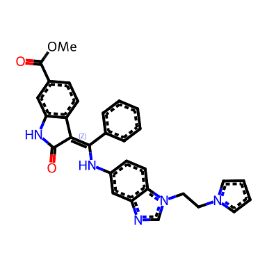 COC(=O)c1ccc2c(c1)NC(=O)/C2=C(\Nc1ccc2c(c1)ncn2CCn1cccc1)c1ccccc1